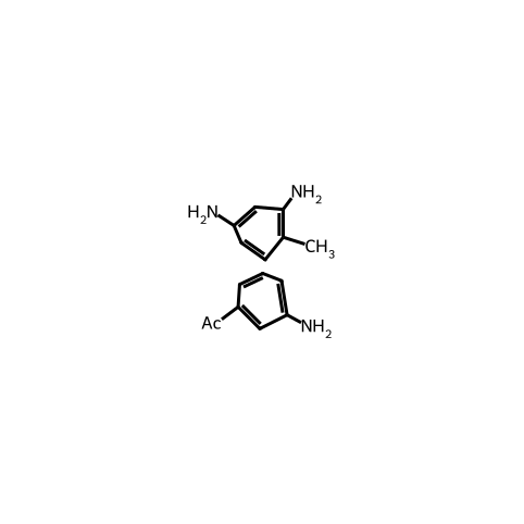 CC(=O)c1cccc(N)c1.Cc1ccc(N)cc1N